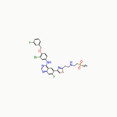 CCCS(=O)(=O)CCNCCc1nc(-c2cc3c(Nc4ccc(OCc5cccc(F)c5)c(Br)c4)ncnc3cc2F)cs1